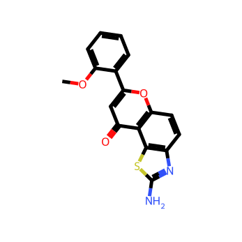 COc1ccccc1-c1cc(=O)c2c(ccc3nc(N)sc32)o1